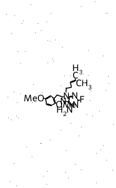 COc1ccc(OC)c(Cc2nc3c(N)nc(F)nc3n2CCC=C(C)C)c1